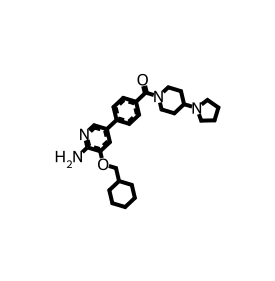 Nc1ncc(-c2ccc(C(=O)N3CCC(N4CCCC4)CC3)cc2)cc1OCC1CCCCC1